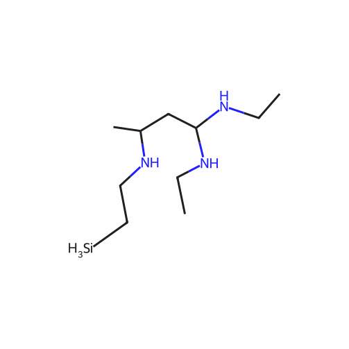 CCNC(CC(C)NCC[SiH3])NCC